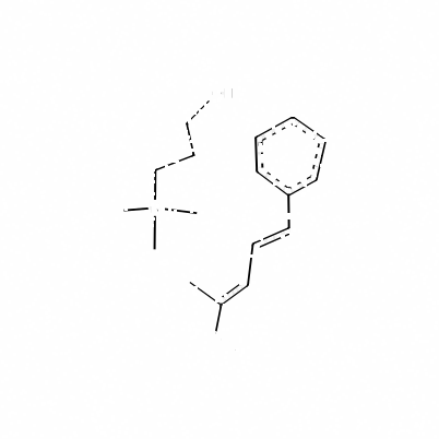 CC(=CC=Cc1ccccc1)C(=O)O.C[N+](C)(C)CCCO.[Cl-]